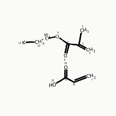 C=C(C)C(=O)OC.C=CC(=O)O.[CH3][K]